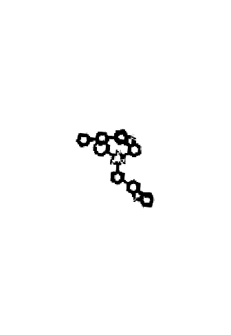 C1=CC=C(c2nc(-c3cccc(-c4ccc5c(c4)sc4ccccc45)c3)nc(-c3cccc4sc5ccc(-c6ccc(-c7ccccc7)cc6)cc5c34)n2)CC=C1